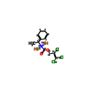 CC(c1ccccc1)[N+](S)(S)C(=O)OCC(Cl)=C(Cl)Cl